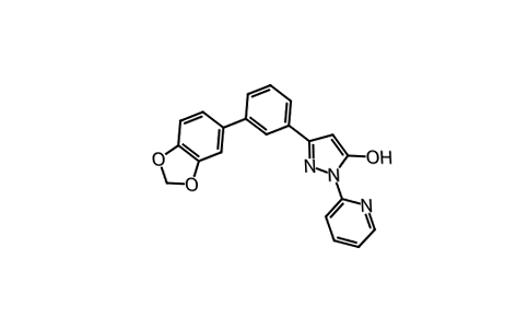 Oc1cc(-c2cccc(-c3ccc4c(c3)OCO4)c2)nn1-c1ccccn1